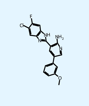 COc1cccc(-c2cnc(N)c(-c3nc4cc(Cl)c(F)cc4[nH]3)c2)c1